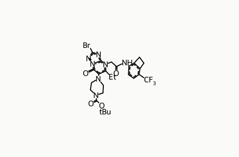 CCc1c(N2CCN(C(=O)OC(C)(C)C)CC2)c(=O)n2nc(Br)nc2n1CC(=O)Nc1ccc(C(F)(F)F)c2c1CC2